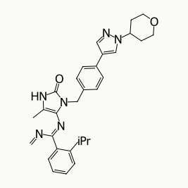 C=N/C(=N\c1c(C)[nH]c(=O)n1Cc1ccc(-c2cnn(C3CCOCC3)c2)cc1)c1ccccc1C(C)C